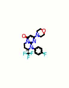 O=c1cc(N2CCOCC2)nc2n1CC[C@@H](C(F)(F)F)N2c1ccc(F)cc1